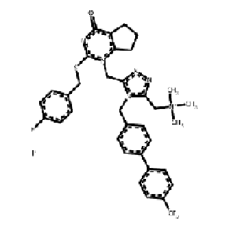 C[N+](C)(C)Cc1nnc(Cn2c(SCc3ccc(F)cc3)nc(=O)c3c2CCC3)n1Cc1ccc(-c2ccc(C(F)(F)F)cc2)cc1.[I-]